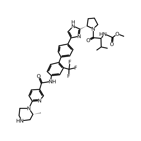 COC(=O)N[C@H](C(=O)N1CCC[C@H]1c1nc(-c2ccc(-c3ccc(NC(=O)c4ccc(N5CCNC[C@H]5C)nc4)cc3C(F)(F)F)cc2)c[nH]1)C(C)C